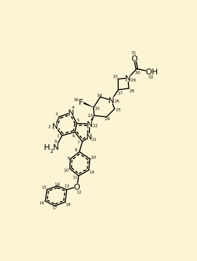 Nc1ncnc2c1c(-c1ccc(Oc3ccccc3)cc1)nn2[C@@H]1CCN(C2CN(C(=O)O)C2)C[C@@H]1F